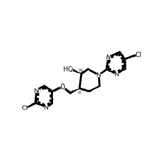 O[C@H]1CN(c2ncc(Cl)cn2)CC[C@H]1COc1cnc(Cl)nc1